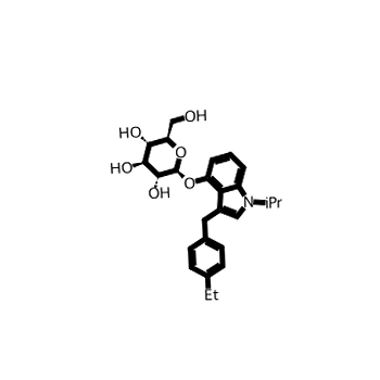 CCc1ccc(Cc2cn(C(C)C)c3cccc(O[C@@H]4O[C@H](CO)[C@@H](O)[C@H](O)[C@H]4O)c23)cc1